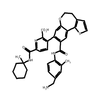 Cc1cc(CN)ccc1NC(=O)c1cc2c(cc1-c1ccc(C(=O)NC3(C)CCCCC3)nc1C(=O)O)OCCc1ccsc1-2